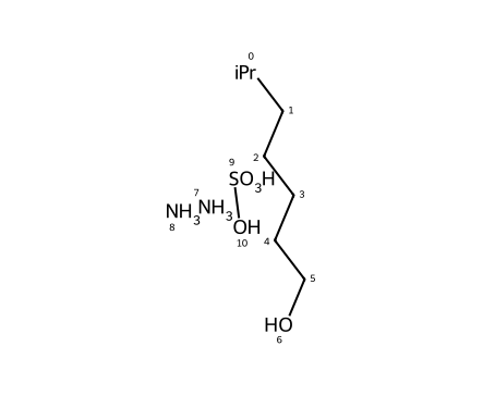 CC(C)CCCCCO.N.N.O=S(=O)(O)O